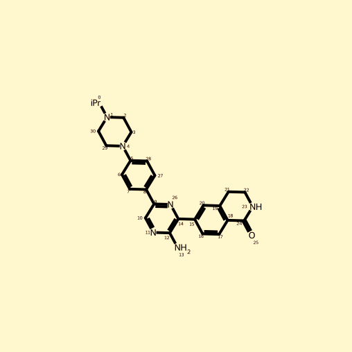 CC(C)N1CCN(c2ccc(-c3cnc(N)c(-c4ccc5c(c4)CCNC5=O)n3)cc2)CC1